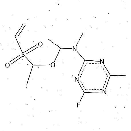 C=CS(=O)(=O)C(C)OC(C)N(C)c1nc(C)nc(F)n1